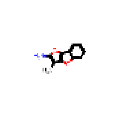 Cc1c(N)oc2c1oc1ccccc12